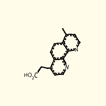 Cc1ccnc2c1ccc1c(CC(=O)O)ccnc12